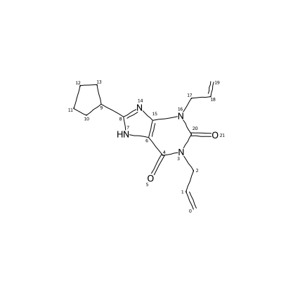 C=CCn1c(=O)c2[nH]c(C3CCCC3)nc2n(CC=C)c1=O